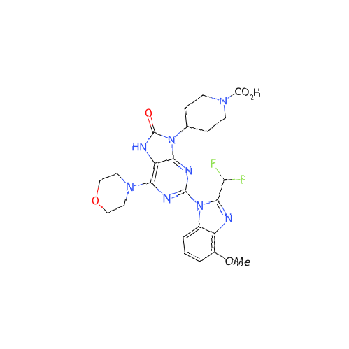 COc1cccc2c1nc(C(F)F)n2-c1nc(N2CCOCC2)c2[nH]c(=O)n(C3CCN(C(=O)O)CC3)c2n1